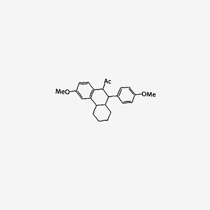 COc1ccc(C2C(C(C)=O)c3ccc(OC)cc3C3CCCCC32)cc1